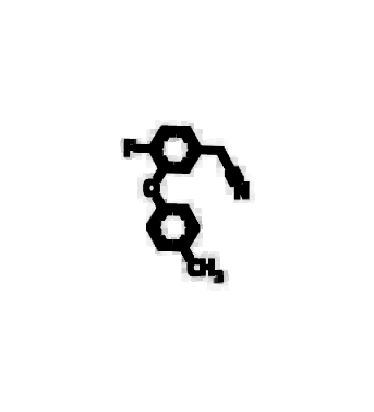 Cc1ccc(Oc2cc(CC#N)ccc2F)cc1